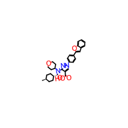 C[C@H]1CC[C@H](C(=O)N(c2nn(-c3ccc(-c4cc5ccccc5o4)cc3)cc2C(=O)O)C2CCOCC2)CC1